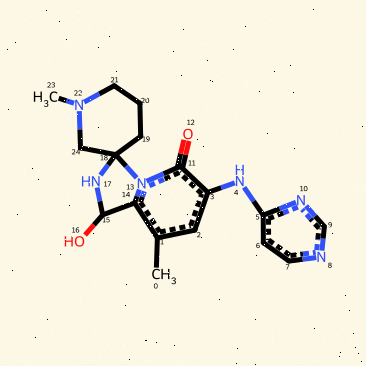 Cc1cc(Nc2ccncn2)c(=O)n2c1C(O)NC21CCCN(C)C1